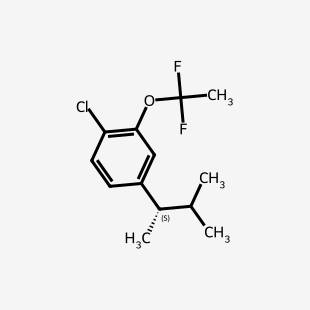 CC(C)[C@H](C)c1ccc(Cl)c(OC(C)(F)F)c1